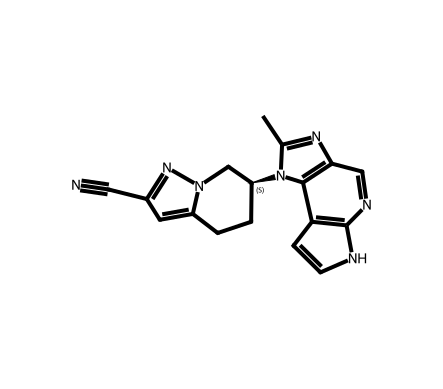 Cc1nc2cnc3[nH]ccc3c2n1[C@H]1CCc2cc(C#N)nn2C1